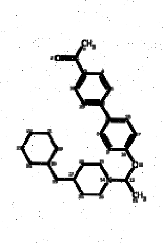 CC(=O)c1ccc(-c2ccc(OC(C)N3CCC(CC4CCCCC4)CC3)cc2)cc1